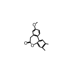 COc1ccc2c(c1)CC(=O)Oc1cc(C)c(C)cc1-2